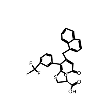 O=C(O)[C@H]1CSc2c(-c3cccc(C(F)(F)F)c3)c(Cc3cccc4ccccc34)cc(=O)n21